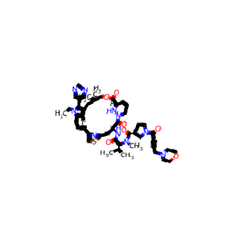 CCn1c(-c2cncnc2)c2c3cc(ccc31)-c1csc(n1)C[C@H](NC(=O)[C@H](C(C)C)N(C)C(=O)[C@H]1CCN(C(=O)C#CCN3CCOCC3)C1)C(=O)N1CCC[C@H](N1)C(=O)OCC(C)(C)C2